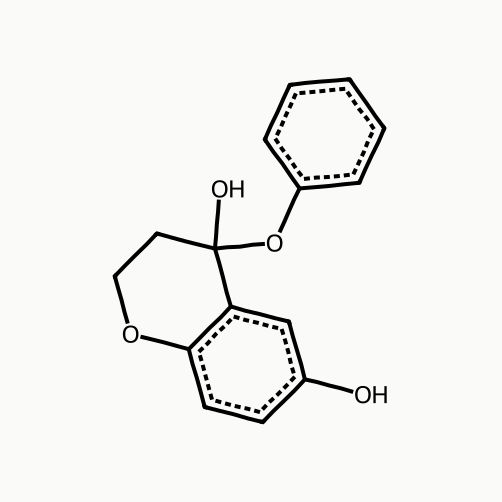 Oc1ccc2c(c1)C(O)(Oc1ccccc1)CCO2